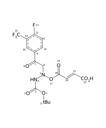 CC(C)(C)OC(=O)NN(CC(=O)c1ccc(F)c(C(F)(F)F)c1)OC(=O)C=CC(=O)O